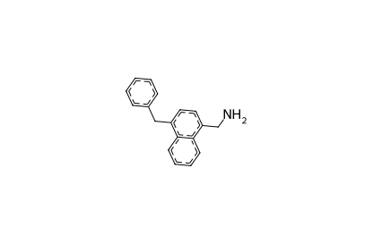 NCc1ccc(Cc2ccccc2)c2ccccc12